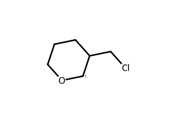 ClCC1[C]OCCC1